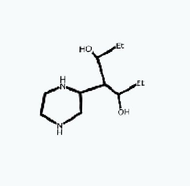 CCC(O)C(C(O)CC)C1CNCCN1